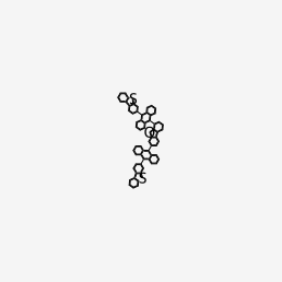 c1ccc2c(c1)sc1cc(-c3c4ccccc4c(-c4ccc5c(c4)oc4c(-c6c7ccccc7c(-c7ccc8c(c7)sc7ccccc78)c7ccccc67)cccc45)c4ccccc34)ccc12